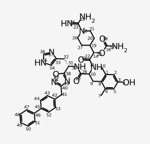 Cc1cc(O)cc(C)c1CC(NC(=O)[C@H](OC(N)=O)C1CCN(C(=N)N)CC1)C(=O)N[C@@H](Cc1c[nH]cn1)c1nc(Cc2ccc(-c3ccccc3)cc2)no1